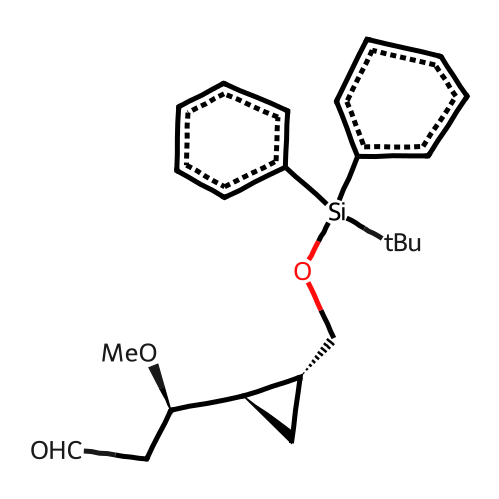 CO[C@H](CC=O)[C@@H]1C[C@H]1CO[Si](c1ccccc1)(c1ccccc1)C(C)(C)C